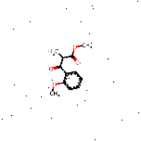 COC(=O)C(C)C(=O)c1ccccc1OC